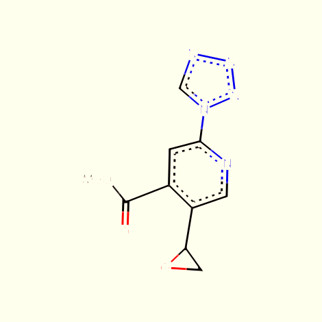 COC(=O)c1cc(-n2cnnn2)ncc1C1CO1